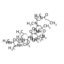 CCCC(=O)N(C)CC(=O)N(C)[C@@H](CC(C)(C)OCSC)C(=O)N[C@H](C(=O)N(C)[C@@H](CC(C)C)C(=O)N[C@H](C)C(=O)N[C@@H](C)C(=O)NC)C(C)C